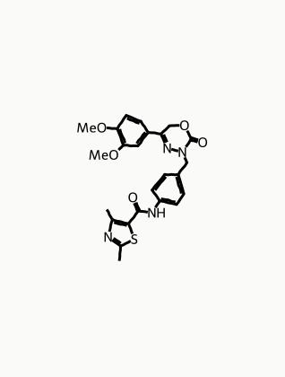 COc1ccc(C2=NN(Cc3ccc(NC(=O)c4sc(C)nc4C)cc3)C(=O)OC2)cc1OC